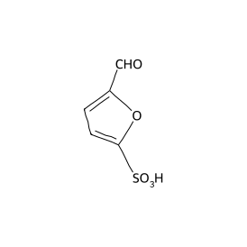 O=Cc1ccc(S(=O)(=O)O)o1